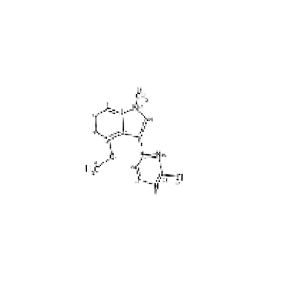 COc1cccc2c1c(-c1ccnc(Cl)n1)cn2C